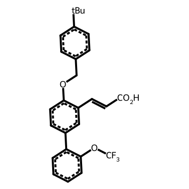 CC(C)(C)c1ccc(COc2ccc(-c3ccccc3OC(F)(F)F)cc2/C=C/C(=O)O)cc1